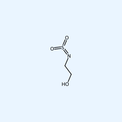 O=S(=O)=NCCO